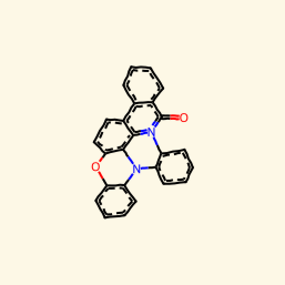 O=c1c2ccccc2c2ccc3c4c2n1-c1ccccc1N4c1ccccc1O3